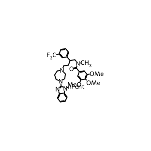 CCCCCn1c(N2CCCN(CCC(CN(C)C(=O)c3cc(OC)c(OC)c(OC)c3)c3cccc(C(F)(F)F)c3)CC2)nc2ccccc21